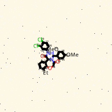 CCc1cccc2c1OCC(=O)N(Cc1ccc(OC)cc1OC)C2C(=O)Nc1ccc(Cl)c(Cl)c1